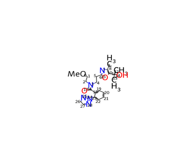 COCCN(CCc1nc(C)c(C(C)(C)O)o1)C(=O)c1ccccc1-n1nccn1